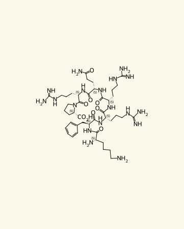 N=C(N)NCCC[C@H](NC(=O)[C@H](CCCNC(=N)N)NC(=O)[C@H](Cc1ccccc1)NC(=O)[C@@H](N)CCCCN)C(=O)N[C@@H](CCC(N)=O)C(=O)N[C@@H](CCCNC(=N)N)C(=O)N1CCC[C@H]1C(=O)O